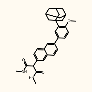 CNC(=O)C(C(=O)NC)c1ccc2cc(-c3ccc(OC)c(C45CC6CC(CC(C6)C4)C5)c3)ccc2c1